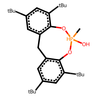 CC(C)(C)c1cc2c(c(C(C)(C)C)c1)O[PH](C)(O)Oc1c(cc(C(C)(C)C)cc1C(C)(C)C)C2